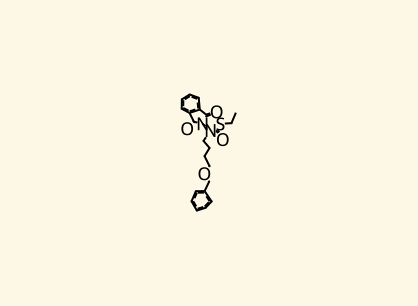 CCSC(=O)N(CCCCOCc1ccccc1)N1C(=O)c2ccccc2C1=O